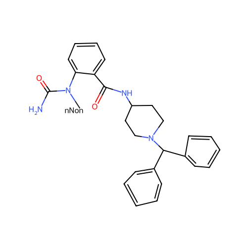 CCCCCCCCCN(C(N)=O)c1ccccc1C(=O)NC1CCN(C(c2ccccc2)c2ccccc2)CC1